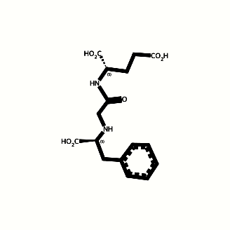 O=C(O)CC[C@H](NC(=O)CN[C@@H](Cc1ccccc1)C(=O)O)C(=O)O